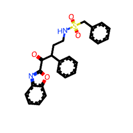 O=C(c1nc2ccccc2o1)C(CCNS(=O)(=O)Cc1ccccc1)c1ccccc1